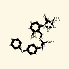 CS/C(=N/c1ccc(Oc2ccccc2)cc1)SCc1c(C)cccc1-n1nnn(C)c1=O